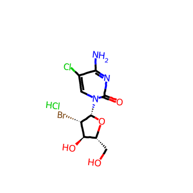 Cl.Nc1nc(=O)n([C@@H]2O[C@H](CO)[C@@H](O)[C@@H]2Br)cc1Cl